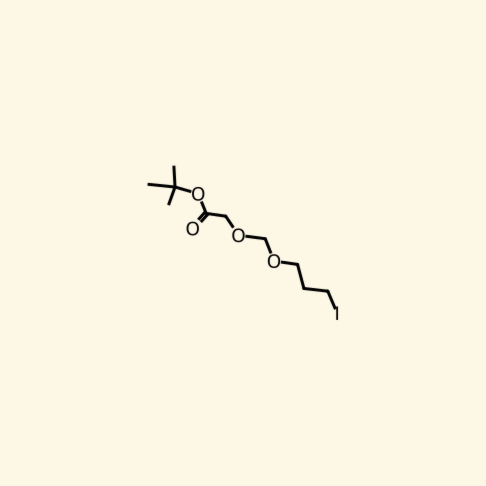 CC(C)(C)OC(=O)COCOCCCI